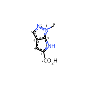 Cn1ncc2cc(C(=O)O)[nH]c21